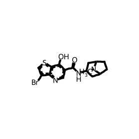 CN1C2CCC1CC(NC(=O)c1cnc3c(Br)csc3c1O)C2